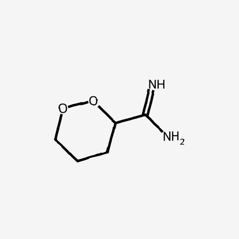 N=C(N)C1CCCOO1